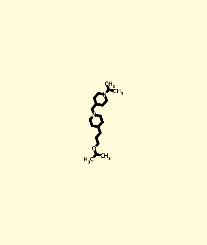 CC(C)OCCCC1CCN(CC2CCN(C(C)C)CC2)CC1